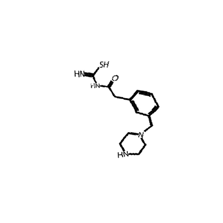 N=C(S)NC(=O)Cc1cccc(CN2CCNCC2)c1